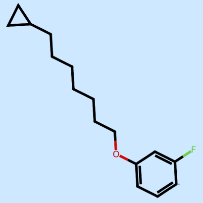 Fc1[c]ccc(OCCCCCCCC2CC2)c1